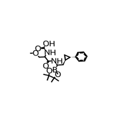 COCC(NC(=O)O)C(=O)NC(C[C@H]1C[C@@H]1c1ccccc1)B1OC(C)(C)C(C)(C)O1